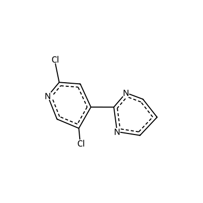 Clc1cc(-c2ncccn2)c(Cl)cn1